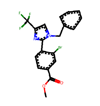 COC(=O)c1ccc(-c2nc(C(F)(F)F)cn2Cc2ccccc2)c(Br)c1